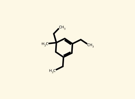 [CH2]C1(CC)C=C(CC)C=C(CC)C1